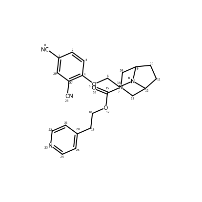 N#Cc1ccc(OCCN2C3CCC2CN(C(=O)OCCc2ccncc2)C3)c(C#N)c1